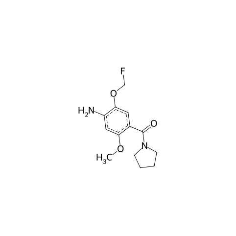 COc1cc(N)c(OCF)cc1C(=O)N1CCCC1